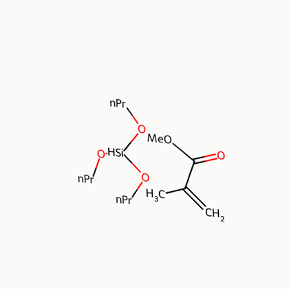 C=C(C)C(=O)OC.CCCO[SiH](OCCC)OCCC